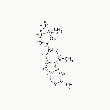 Cc1ccc2cc3n(c2n1)[C@H](C)CN(C(=O)OC(C)(C)C)C3